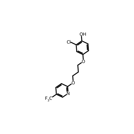 Oc1ccc(OCCCOc2ccc(C(F)(F)F)cn2)cc1Cl